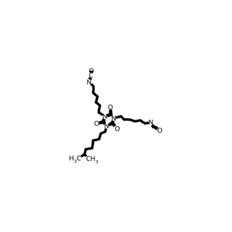 CC(C)CCCCCCn1c(=O)n(CCCCCCN=C=O)c(=O)n(CCCCCCN=C=O)c1=O